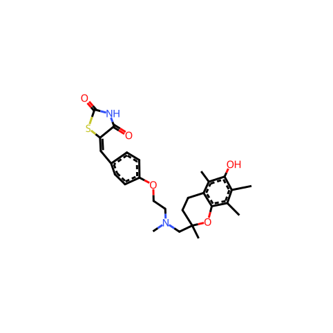 Cc1c(C)c2c(c(C)c1O)CCC(C)(CN(C)CCOc1ccc(C=C3SC(=O)NC3=O)cc1)O2